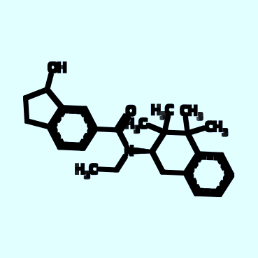 CCN(C(=O)c1ccc2c(c1)C(O)CC2)[C@@H]1Cc2ccccc2C(C)(C)C1(C)C